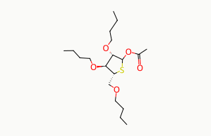 CCCCOC[C@H]1SC(OC(C)=O)[C@@H](OCCCC)[C@@H]1OCCCC